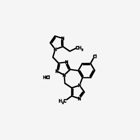 CCc1nccn1Cc1nc2n(n1)Cc1c(C)ncn1-c1ccc(Cl)cc1-2.Cl